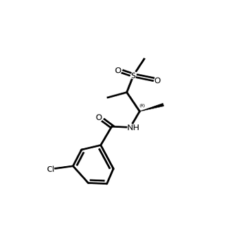 CC([C@@H](C)NC(=O)c1cccc(Cl)c1)S(C)(=O)=O